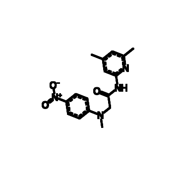 Cc1cc(C)nc(NC(=O)CN(C)c2ccc([N+](=O)[O-])cc2)c1